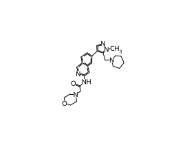 Cn1ncc(-c2ccc3cnc(NC(=O)CN4CCOCC4)cc3c2)c1CN1CCCCC1